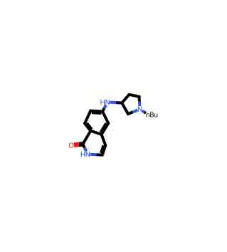 CCCCN1CCC(Nc2ccc3c(=O)[nH]ccc3c2)C1